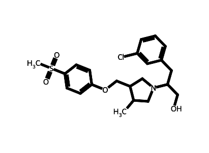 CC1CN(C(CO)Cc2cccc(Cl)c2)CC1COc1ccc(S(C)(=O)=O)cc1